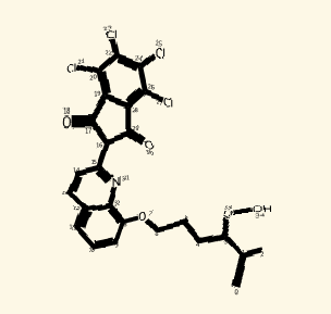 C=C(C)C(CCCOc1cccc2ccc(C3C(=O)c4c(Cl)c(Cl)c(Cl)c(Cl)c4C3=O)nc12)OO